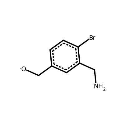 NCc1cc(C[O])ccc1Br